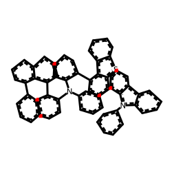 c1ccc(-c2cccc3cccc(-c4ccccc4N(c4cccc(-c5cccc6c7ccccc7n(-c7ccccc7)c56)c4)c4ccccc4-c4cccc5sc6ccccc6c45)c23)cc1